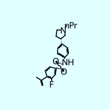 C=C(C)c1ccc(S(=O)(=O)Nc2ccc([C@@H]3CCN(CCC)C3)cc2)cc1F